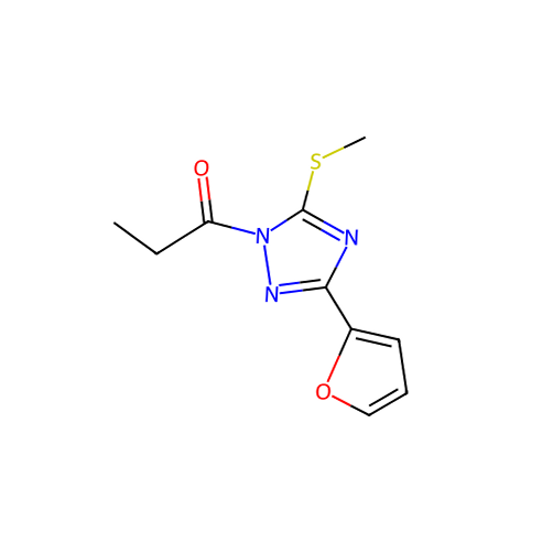 CCC(=O)n1nc(-c2ccco2)nc1SC